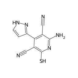 N#Cc1c(N)nc(S)c(C#N)c1-c1cc[nH]n1